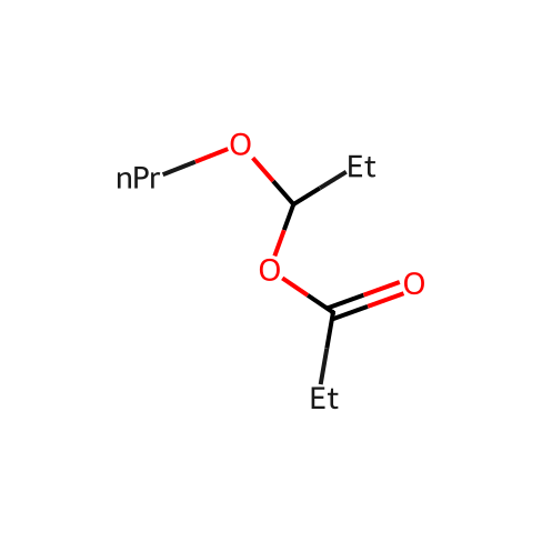 CCCOC(CC)OC(=O)CC